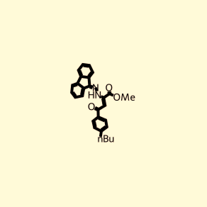 CCCCc1ccc(C(=O)/C=C(\NN=C2c3ccccc3-c3ccccc32)C(=O)OC)cc1